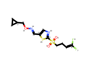 O=S(=O)(CCC=C(F)F)c1ncc(/C=N/OCC2CC2)s1